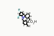 CC(=O)c1ccc(Cn2c3c(c4cc(F)cc(F)c42)CCCC(CC(=O)O)C3)cc1